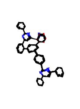 c1ccc(-c2cc(-c3ccccc3)nc(-c3ccc(-c4cc(-c5cccnc5)cc(-c5ccccc5-c5cc(-c6ccccc6)nc(-c6ccccc6)n5)c4)cc3)n2)cc1